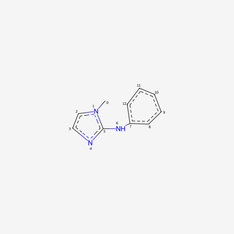 Cn1ccnc1Nc1ccccc1